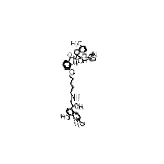 Cc1cccc2c1CCC2(NC(=O)c1cccc(OCCCCCNC[C@H](O)c2ccc(O)c3[nH]c(=O)ccc23)c1)C(=O)O[C@H]1CN2CCC1CC2